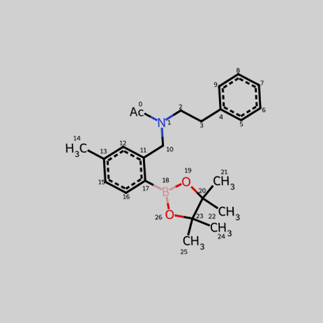 CC(=O)N(CCc1ccccc1)Cc1cc(C)ccc1B1OC(C)(C)C(C)(C)O1